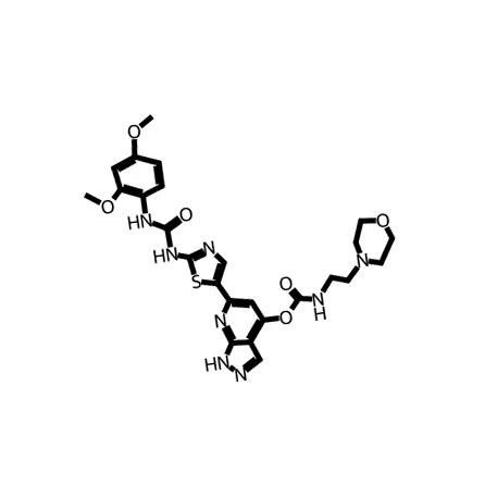 COc1ccc(NC(=O)Nc2ncc(-c3cc(OC(=O)NCCN4CCOCC4)c4cn[nH]c4n3)s2)c(OC)c1